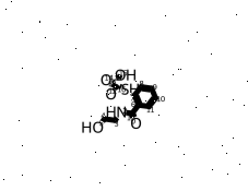 O=C(NCCO)c1ccccc1.O=S(=O)(O)S